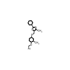 CC(=O)COc1ccc(SCc2sc(-c3ccccc3)nc2C)cc1C